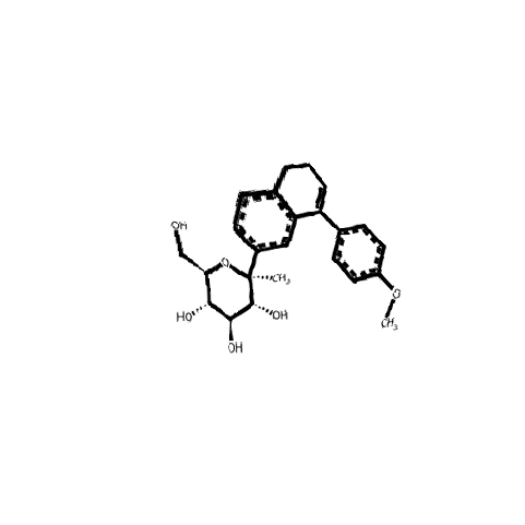 COc1ccc(C2=CCCc3ccc([C@]4(C)O[C@H](CO)[C@@H](O)[C@H](O)[C@H]4O)cc32)cc1